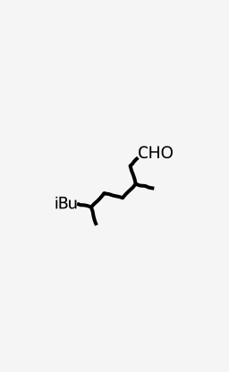 CCC(C)C(C)CCC(C)CC=O